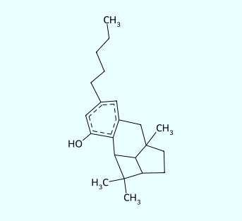 CCCCCc1cc(O)c2c(c1)CC1(C)CCC3C1C2C3(C)C